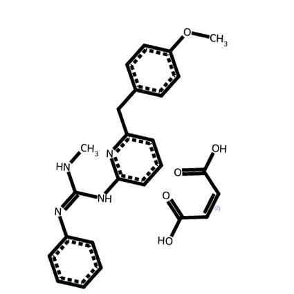 CNC(=Nc1ccccc1)Nc1cccc(Cc2ccc(OC)cc2)n1.O=C(O)/C=C\C(=O)O